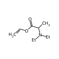 C=COC(=O)C(C)N(CC)CC